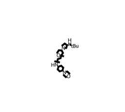 CC(C)(C)N[C@@H]1CCN(C2CCOC(C)(CCC(C)(C)N[C@H]3CC[C@H](N4CCOCC4)CC3)C2)C1